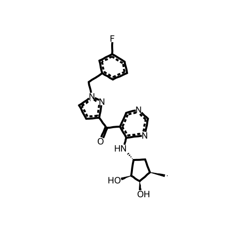 [CH2][C@@H]1C[C@@H](Nc2ncncc2C(=O)c2ccn(Cc3cccc(F)c3)n2)[C@H](O)[C@@H]1O